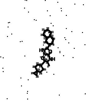 CC(NC1=NNC(c2ccc3ccccc3c2)O1)C(=O)N1CCC2(CC1)CC2